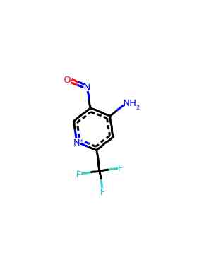 Nc1cc(C(F)(F)F)ncc1N=O